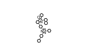 c1ccc(-c2ccc(-c3nc(-c4ccccc4)nc(-c4ccc(-c5cccc6c5nc(-c5cccc7ccccc57)c5c7ccccc7oc65)cc4)n3)cc2)cc1